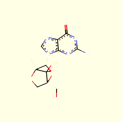 C[C@]12OC[C@](CO)(O[C@H]1n1cnc3c(=O)[nH]c(N)nc31)[C@H]2O